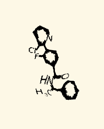 CC(NC(=O)c1ccc(-c2ncccc2Cl)c(F)c1)c1ccccc1